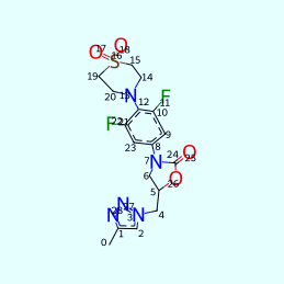 Cc1cn(CC2CN(c3cc(F)c(N4CCS(=O)(=O)CC4)c(F)c3)C(=O)O2)nn1